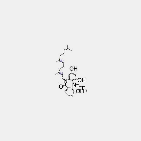 CC(C)=CCC/C(C)=C/CC/C(C)=C/CN1C(=O)c2cccc(O)c2N(CC(F)(F)F)c2c(O)cc(O)cc21